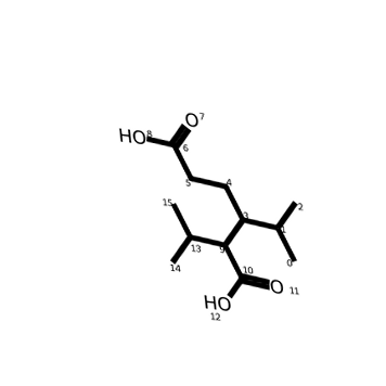 CC(C)C(CCC(=O)O)C(C(=O)O)C(C)C